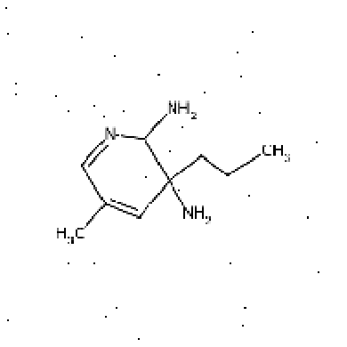 CCCC1(N)C=C(C)C=NC1N